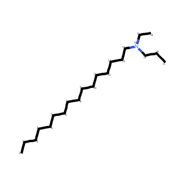 CCCCCCCCCCCCCCCCN(CC)CCC